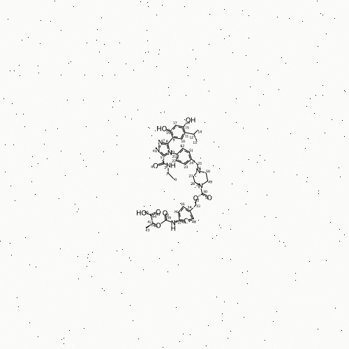 CCNC(=O)c1nnc(-c2cc(C(C)C)c(O)cc2O)n1-c1ccc(CN2CCN(C(=O)OCc3ccc(NC(=O)O[C@@H](C)C(=O)O)cc3)CC2)cc1